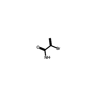 C=C(Br)C([NH])=O